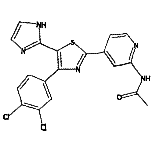 CC(=O)Nc1cc(-c2nc(-c3ccc(Cl)c(Cl)c3)c(-c3ncc[nH]3)s2)ccn1